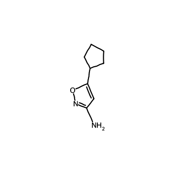 Nc1cc(C2CCCC2)on1